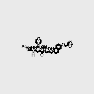 CC(=O)N1CC(NC2CC(C(=O)NC[C@H](O)CN3CCc4cc(OCc5cnco5)ccc4C3)N(C)C(N3CCOCC3)N2)C1